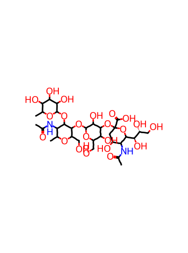 CC(=O)NC1C(C)OC(CO)C(OC2OC(CO)C(O)C(OC3(C(=O)O)CC(O)C(NC(C)=O)C([C@H](O)[C@H](O)CO)O3)C2O)C1OC1OC(C)C(O)C(O)C1O